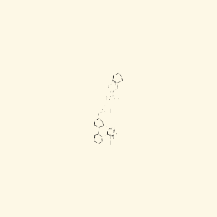 O=C(NCCNCc1ccc(-c2ccccc2-c2nnn[nH]2)cc1)[C@H](CS)Cc1ccccc1